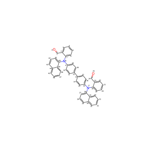 O=Cc1ccccc1N(c1ccc(-c2ccc(N(c3ccccc3C=O)c3cccc4ccccc34)cc2)cc1)c1cccc2ccccc12